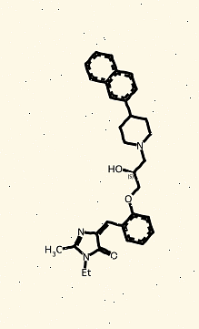 CCN1C(=O)C(=Cc2ccccc2OC[C@@H](O)CN2CCC(c3ccc4ccccc4c3)CC2)N=C1C